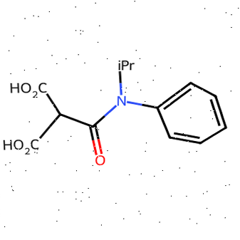 CC(C)N(C(=O)C(C(=O)O)C(=O)O)c1ccccc1